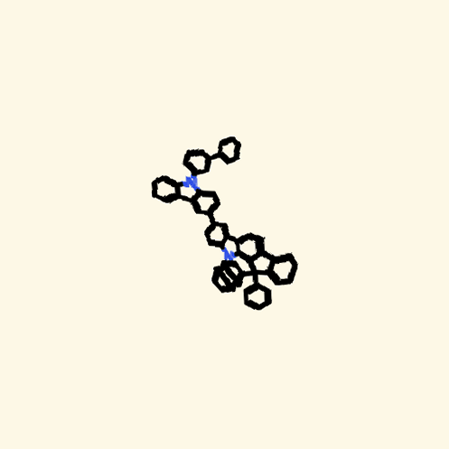 c1ccc(-c2cccc(-n3c4ccccc4c4cc(-c5ccc6c(c5)c5ccc7c(c5n6-c5ccccc5)C(c5ccccc5)(c5ccccc5)c5ccccc5-7)ccc43)c2)cc1